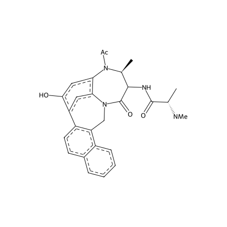 CN[C@@H](C)C(=O)NC1C(=O)N2Cc3c(ccc4ccccc34)-c3cc2c(cc3O)N(C(C)=O)[C@H]1C